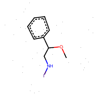 COC(CNI)c1ccccc1